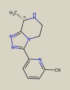 C[C@@H]1NCCn2c(-c3cccc(C#N)n3)nnc21